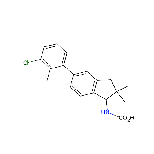 Cc1c(Cl)cccc1-c1ccc2c(c1)CC(C)(C)C2NC(=O)O